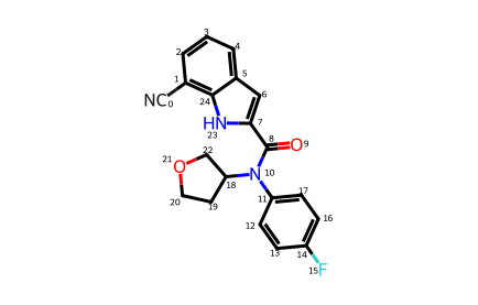 N#Cc1cccc2cc(C(=O)N(c3ccc(F)cc3)C3CCOC3)[nH]c12